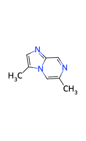 Cc1cn2c(C)cnc2cn1